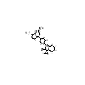 Cn1ncc2c(-c3ccc(NC(=O)C4(c5ccccc5)CC4)cc3)cc(C(C)(C)C)nc21